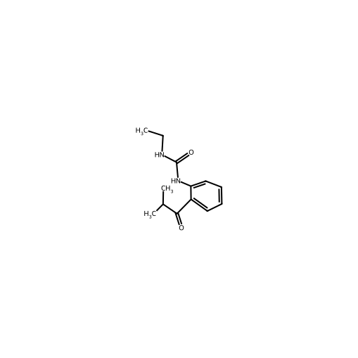 CCNC(=O)Nc1ccccc1C(=O)C(C)C